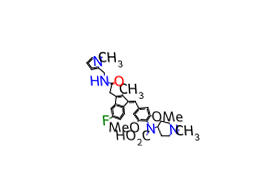 COc1cc(/C=C2/C(C)=C(CC(=O)NCc3cccn3C)c3cc(F)ccc32)cc(OC)c1N(C(=O)O)C1CCN(C)CC1